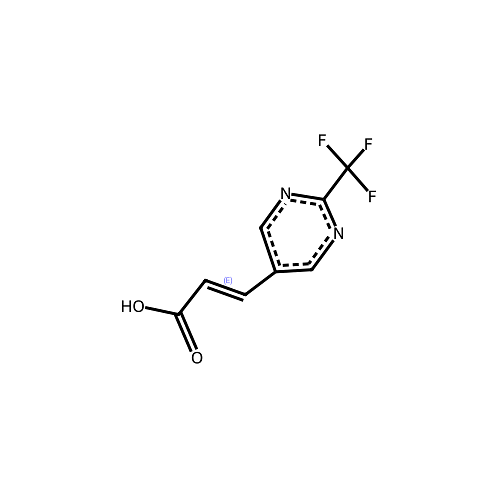 O=C(O)/C=C/c1cnc(C(F)(F)F)nc1